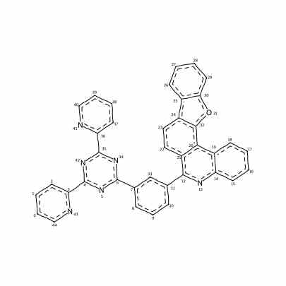 c1ccc(-c2nc(-c3cccc(-c4nc5ccccc5c5c4ccc4c6ccccc6oc45)c3)nc(-c3ccccn3)n2)nc1